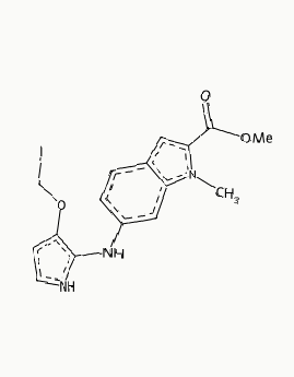 COC(=O)c1cc2ccc(Nc3[nH]ccc3OCI)cc2n1C